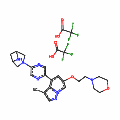 N#Cc1cnn2cc(OCCN3CCOCC3)cc(-c3cnc(N4CC5CC(C4)N5)cn3)c12.O=C(O)C(F)(F)F.O=C(O)C(F)(F)F